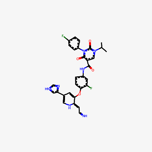 CC(C)n1cc(C(=O)Nc2ccc(OC3=CC(c4c[nH]cn4)=CN/C3=C\C=N)c(F)c2)c(=O)n(-c2ccc(F)cc2)c1=O